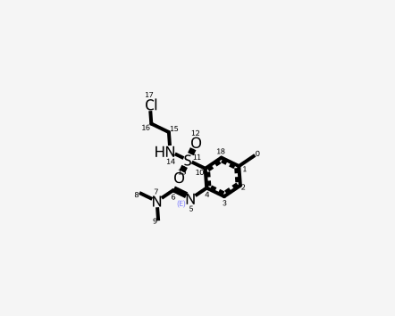 Cc1ccc(/N=C/N(C)C)c(S(=O)(=O)NCCCl)c1